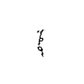 CCCc1ccc(NC(=O)Oc2cccc(OCC(OC)OC)c2)cc1